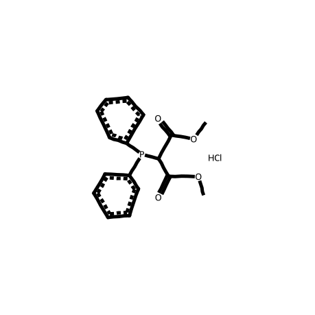 COC(=O)C(C(=O)OC)P(c1ccccc1)c1ccccc1.Cl